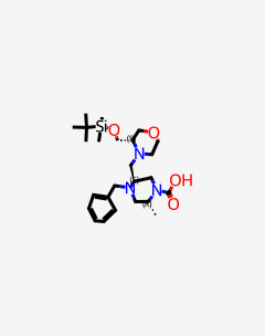 C[C@@H]1CN(Cc2ccccc2)[C@@H](CN2CCOC[C@H]2CO[Si](C)(C)C(C)(C)C)CN1C(=O)O